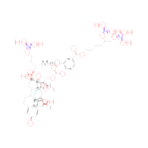 COc1cc(C(=O)OCCCCC(CON(O)O)ON(O)O)ccc1OC(=O)OCC(=O)[C@@]1(OC(=O)CCCON(O)O)[C@H](O)CC2C3CCC4=CC(=O)C=C[C@]4(C)[C@@]3(F)[C@@H](O)C[C@@]21C